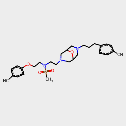 CS(=O)(=O)N(CCOc1ccc(C#N)cc1)CCN1CC2CN(CCCc3ccc(C#N)cc3)CC(C1)O2